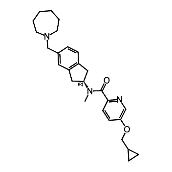 CN(C(=O)c1ccc(OCC2CC2)cn1)[C@@H]1Cc2ccc(CN3CCCCCC3)cc2C1